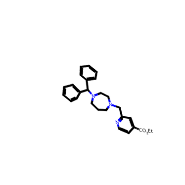 CCOC(=O)c1ccnc(CN2CCCN(C(c3ccccc3)c3ccccc3)CC2)c1